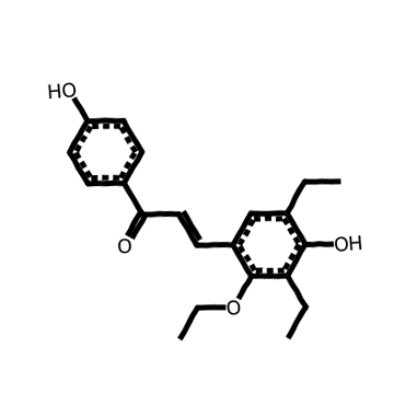 CCOc1c(C=CC(=O)c2ccc(O)cc2)cc(CC)c(O)c1CC